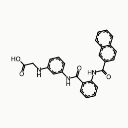 O=C(O)CNc1cccc(NC(=O)c2ccccc2NC(=O)c2ccc3ccccc3c2)c1